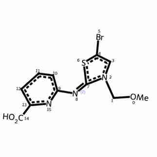 COCn1cc(Br)s/c1=N\c1cccc(C(=O)O)n1